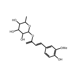 C=C(/C=C/c1ccc(O)c(OC)c1)OC1OC(C)C(O)C(O)C1O